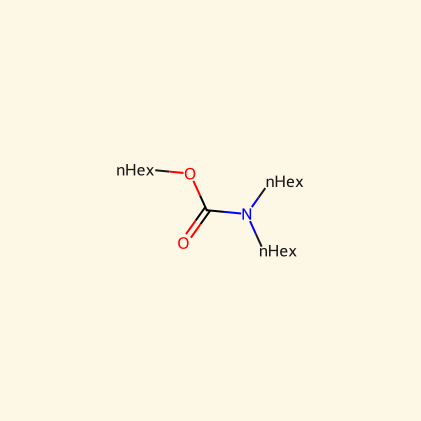 CCCCCCOC(=O)N(CCCCCC)CCCCCC